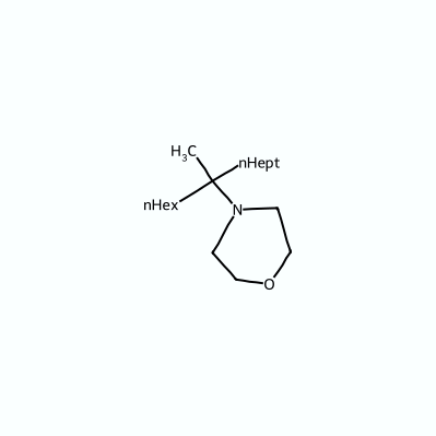 CCCCCCCC(C)(CCCCCC)N1CCOCC1